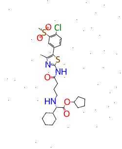 Cc1nc(NC(=O)CCCN[C@H](C(=O)OC2CCCC2)C2CCCCC2)sc1-c1ccc(Cl)c(S(C)(=O)=O)c1